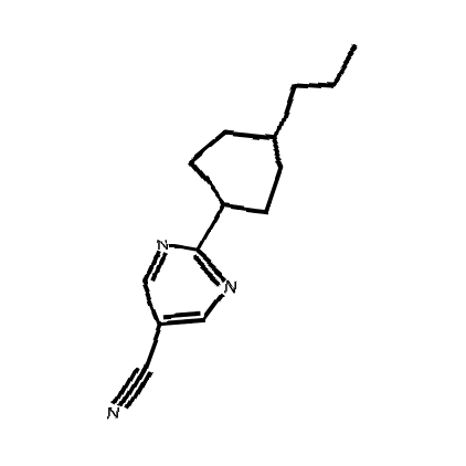 CCCC1CCC(c2ncc(C#N)cn2)CC1